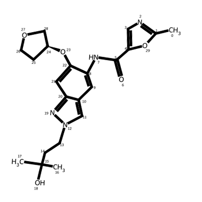 Cc1ncc(C(=O)Nc2cc3cn(CCC(C)(C)O)nc3cc2O[C@H]2CCOC2)o1